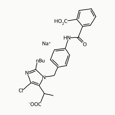 CCCCc1nc(Cl)c(C(C)C(=O)[O-])n1Cc1ccc(NC(=O)c2ccccc2C(=O)O)cc1.[Na+]